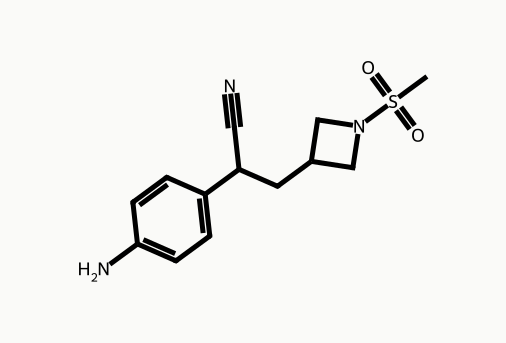 CS(=O)(=O)N1CC(CC(C#N)c2ccc(N)cc2)C1